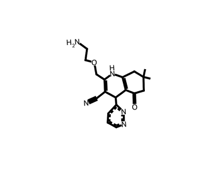 CC1(C)CC(=O)C2=C(C1)NC(COCCN)=C(C#N)C2c1cccnn1